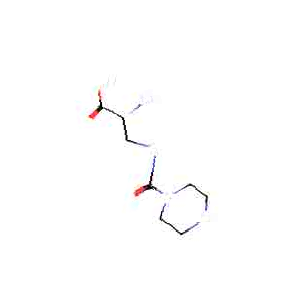 N[C@@H](CNC(=O)N1CCNCC1)C(=O)O